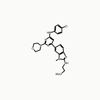 COCCNc1nc2ccc(-c3cc(Nc4ccc(Cl)cc4)nc(N4CCOCC4)n3)cc2n1C